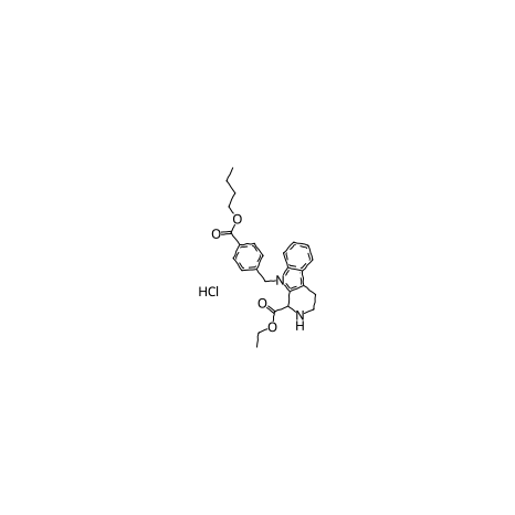 CCCCOC(=O)c1ccc(Cn2c3c(c4ccccc42)CCNC3C(=O)OCC)cc1.Cl